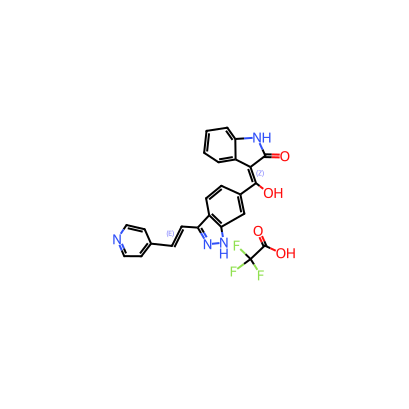 O=C(O)C(F)(F)F.O=C1Nc2ccccc2/C1=C(/O)c1ccc2c(/C=C/c3ccncc3)n[nH]c2c1